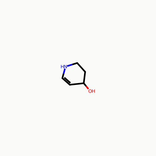 OC1C=CNCC1